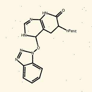 CCCCCC1CC2=C(N=CNC2On2nnc3ccccc32)NC1=O